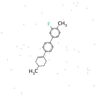 Cc1ccc(-c2ccc(C3=CCC(C)CC3)cc2)cc1F